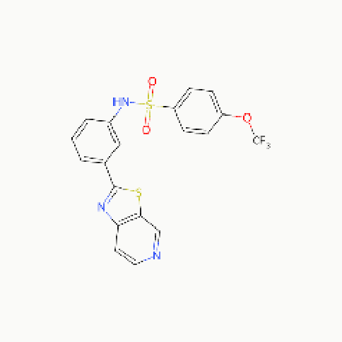 O=S(=O)(Nc1cccc(-c2nc3ccncc3s2)c1)c1ccc(OC(F)(F)F)cc1